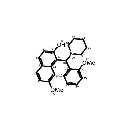 COc1ccc2ccc(O)c(C(c3ccccc3OC)N3CCCCC3)c2c1